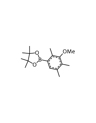 COc1c(C)c(C)cc(B2OC(C)(C)C(C)(C)O2)c1C